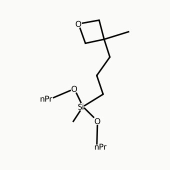 CCCO[Si](C)(CCCC1(C)COC1)OCCC